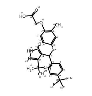 Cc1cc(SC(c2ccc(C(F)(F)F)cc2)c2c(C(C)(C)C)n[nH]c2Cl)ccc1OCC(=O)O